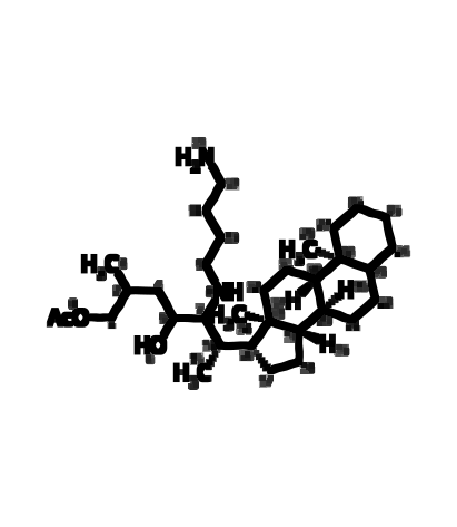 CC(=O)OCC(C)CC(O)C(NCCCCN)[C@@H](C)[C@H]1CC[C@H]2[C@@H]3CCC4CCCC[C@]4(C)[C@H]3CC[C@]12C